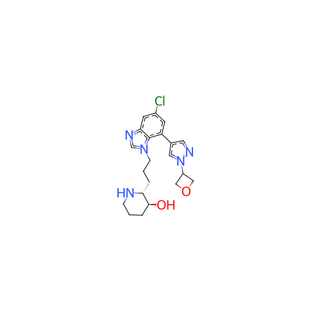 O[C@H]1CCCN[C@@H]1CCCn1cnc2cc(Cl)cc(-c3cnn(C4COC4)c3)c21